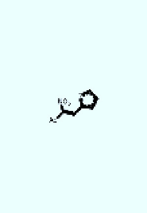 CC(=O)C(=Cc1cccs1)[N+](=O)[O-]